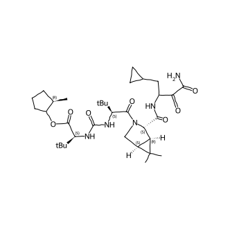 C[C@@H]1CCCC1OC(=O)[C@@H](NC(=O)N[C@H](C(=O)N1C[C@H]2[C@@H]([C@H]1C(=O)NC(CC1CC1)C(=O)C(N)=O)C2(C)C)C(C)(C)C)C(C)(C)C